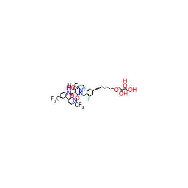 C[C@]12CCCN1N(Cc1c(F)cc(C#CCCCCCOC[C@H](O)[C@@H](O)CO)cc1F)C(=O)C(C(=O)Nc1ccc(C(F)(F)F)cc1-c1ccc(C(F)(F)F)nc1)=C2O